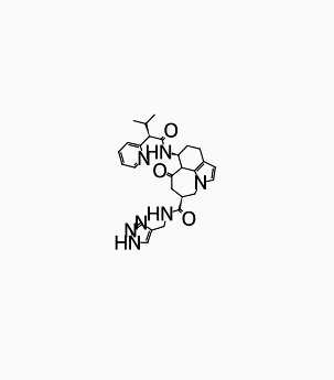 CC(C)[C@@H](C(=O)N[C@H]1CCc2ccn3c2C1C(=O)C[C@H](C(=O)NCc1c[nH]nn1)C3)c1ccccn1